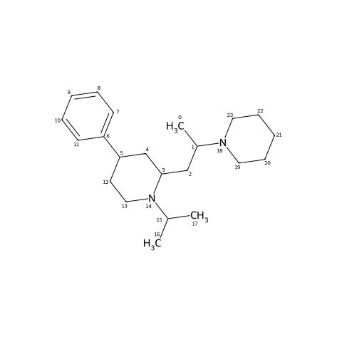 CC(CC1CC(c2ccccc2)CCN1C(C)C)N1CCCCC1